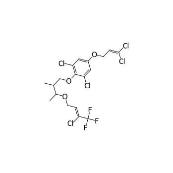 CC(COc1c(Cl)cc(OCC=C(Cl)Cl)cc1Cl)C(C)OCC=C(Cl)C(F)(F)F